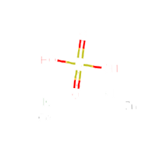 Cl.Cl.O=S(=O)(O)O.[Co].[Zn]